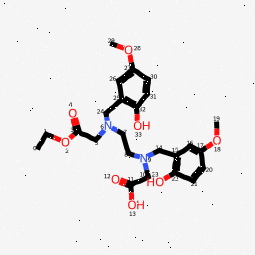 CCOC(=O)CN(CCN(CC(=O)O)Cc1cc(OC)ccc1O)Cc1cc(OC)ccc1O